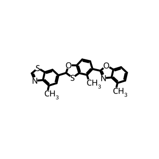 Cc1c(-c2nc3c(C)cccc3o2)ccc2c1SC(c1cc(C)c3ncsc3c1)O2